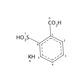 O=C(O)c1ccccc1S(=O)(=O)O.[KH]